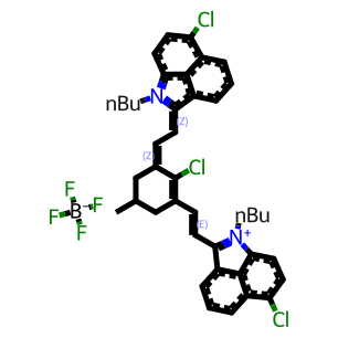 CCCCn1/c(=C\C=C2\CC(C)CC(/C=C/C3=[N+](CCCC)c4ccc(Cl)c5cccc3c45)=C2Cl)c2cccc3c(Cl)ccc1c32.F[B-](F)(F)F